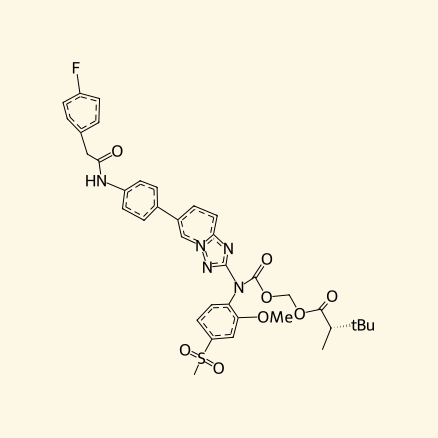 COc1cc(S(C)(=O)=O)ccc1N(C(=O)OCOC(=O)[C@@H](C)C(C)(C)C)c1nc2ccc(-c3ccc(NC(=O)Cc4ccc(F)cc4)cc3)cn2n1